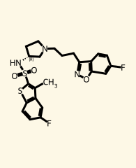 Cc1c(S(=O)(=O)N[C@@H]2CCN(CCCc3noc4cc(F)ccc34)C2)sc2ccc(F)cc12